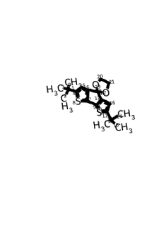 CC(C)(C)c1cc2c(s1)-c1sc(C(C)(C)C)cc1C21OCCO1